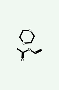 C1COCCO1.C=COC(C)=O